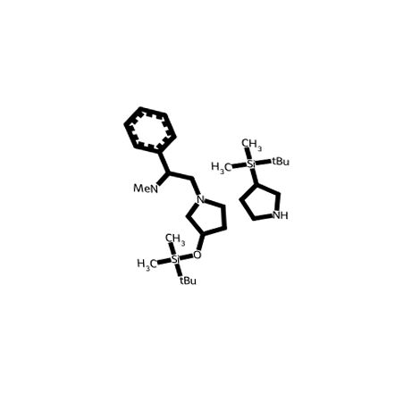 CC(C)(C)[Si](C)(C)C1CCNC1.CNC(CN1CCC(O[Si](C)(C)C(C)(C)C)C1)c1ccccc1